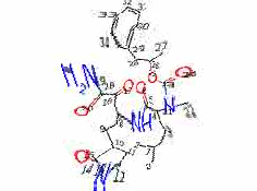 CC(C)CC(C(=O)NC(CC1CCNC1=O)C(=O)C(N)=O)N(C)C(=O)OC(C)Cc1ccccc1